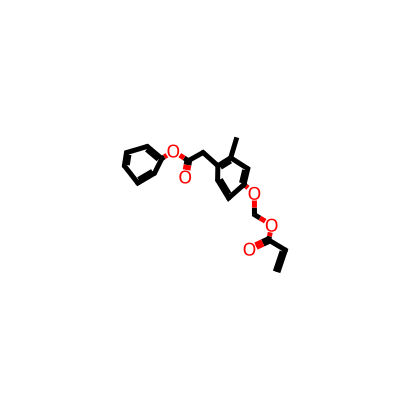 C=CC(=O)OCOc1ccc(CC(=O)Oc2ccccc2)c(C)c1